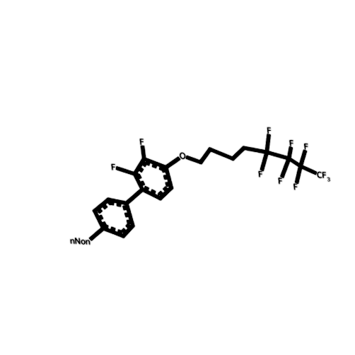 CCCCCCCCCc1ccc(-c2ccc(OCCCCC(F)(F)C(F)(F)C(F)(F)C(F)(F)F)c(F)c2F)cc1